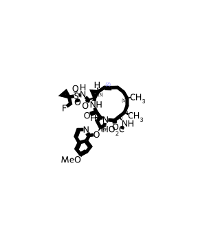 COc1ccc2c(O[C@@H]3C[C@H]4C(=O)N[C@]5(C(=O)NS(=O)(=O)C6(CF)CC6)C[C@H]5/C=C\CC[C@H](C)C[C@@H](C)[C@H](NC(=O)O)C(=O)N4C3)nccc2c1